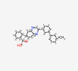 Cc1cccc(-c2cccc(-c3cnc4cc(-c5ccccc5C(=O)O)ccc4n3)c2)c1